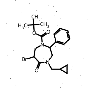 CC(C)(C)OC(=O)N1CC(Br)C(=O)N(CC2CC2)CC1c1ccccc1